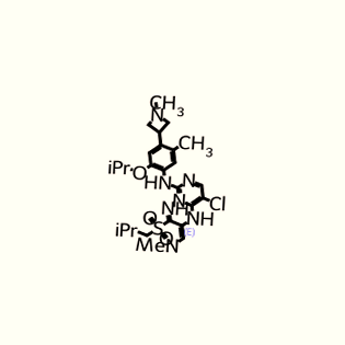 CN/C=C(/Nc1nc(Nc2cc(C)c(C3CN(C)C3)cc2OC(C)C)ncc1Cl)C(=N)S(=O)(=O)CC(C)C